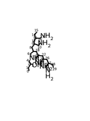 CCC(O)CNCC(CC(CN)CC(CC)CN)CC(CN)CC(CN)CC(CC)CN